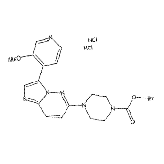 COc1cnccc1-c1cnc2ccc(N3CCN(C(=O)OC(C)C)CC3)nn12.Cl.Cl